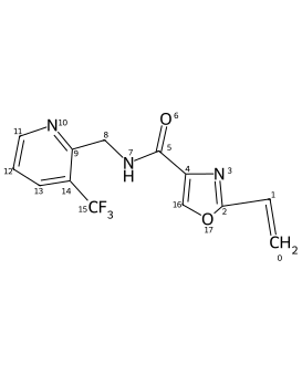 C=Cc1nc(C(=O)NCc2ncccc2C(F)(F)F)co1